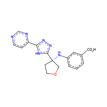 O=C(O)c1cccc(N[C@@]2(c3nnc(-c4ccncn4)[nH]3)CCOC2)c1